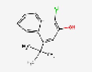 CC(C)(C)c1cc(O)c(Cl)c2ccccc12